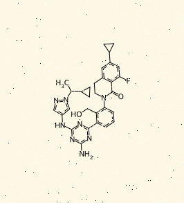 CC(C1CC1)n1cc(Nc2nc(N)nc(-c3cccc(N4CCc5cc(C6CC6)cc(F)c5C4=O)c3CO)n2)cn1